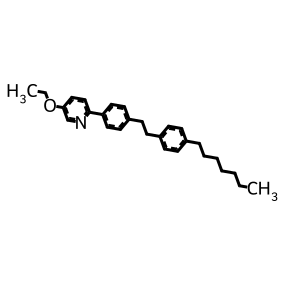 CCCCCCCc1ccc(CCc2ccc(-c3ccc(OCC)cn3)cc2)cc1